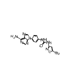 CC(C)(C)c1cc(NC(=O)Nc2ccc(-n3cnc4c(N)ncnc43)cc2)no1